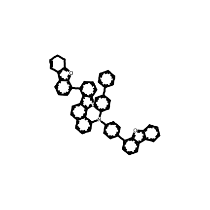 C1=Cc2c(oc3c(-c4cccc5sc6c(ccc7cccc(N(c8ccc(-c9ccccc9)cc8)c8ccc(-c9cccc%10c9oc9ccccc9%10)cc8)c76)c45)cccc23)CC1